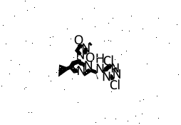 C[C@@H](Nc1nc(Cl)nnc1Cl)c1cn2cc(C3CC3)cc(N3CC(=O)N(C)C3=O)c2n1